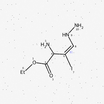 CCOC(=O)C(N)/C(I)=C\NN